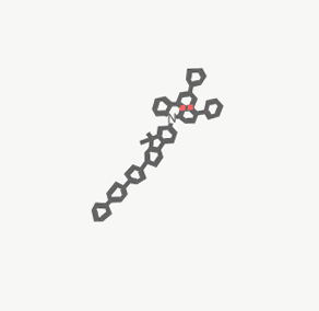 CC1(C)c2cc(-c3ccc(-c4ccc(-c5ccccc5)cc4)cc3)ccc2-c2ccc(N(c3ccc(-c4ccccc4)cc3)c3ccccc3-c3cccc(-c4ccccc4)c3)cc21